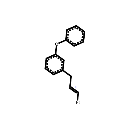 CC/C=C/Cc1cccc(Oc2ccccc2)c1